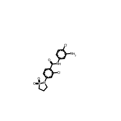 Nc1cc(NC(=O)c2ccc(N3CCCS3(=O)=O)cc2Cl)ccc1Cl